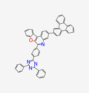 c1ccc(-c2nc(-c3ccccc3)nc(-c3ccc(-c4nc5cc(-c6ccc7c8ccccc8c8ccccc8c7c6)ccc5c5c4oc4ccccc45)cc3)n2)cc1